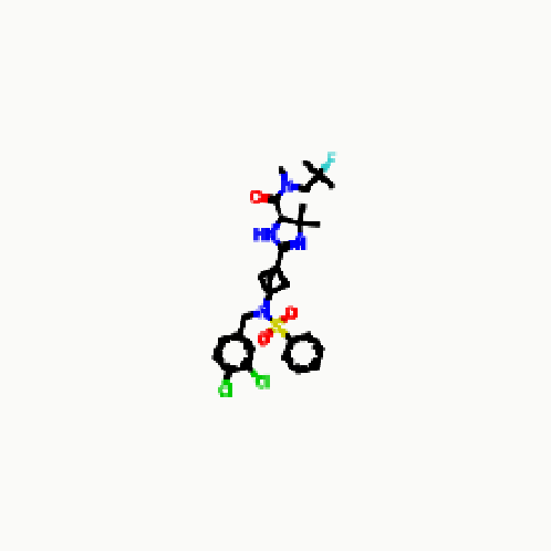 CN(CC(C)(C)F)C(=O)[C@@H]1NC(C23CC(N(Cc4ccc(Cl)c(Cl)c4)S(=O)(=O)c4ccccc4)(C2)C3)=NC1(C)C